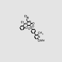 CCOCc1nc(=O)c(S(=O)(=O)c2ccc(-c3ccc(OC)nc3C)cc2)c(O)n1C(CC)c1ccccc1